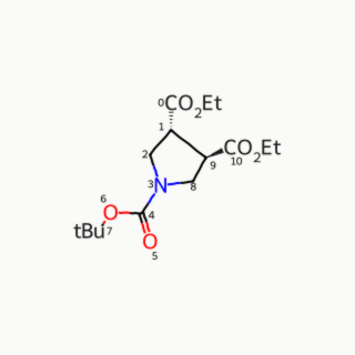 CCOC(=O)[C@H]1CN(C(=O)OC(C)(C)C)C[C@@H]1C(=O)OCC